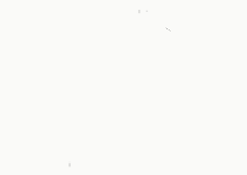 CCCCCCCCCCCC(=O)OCCCCCCCCCCCCCCCC(C)C